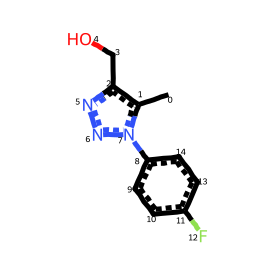 Cc1c(CO)nnn1-c1ccc(F)cc1